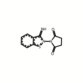 N=c1c2ccccc2sn1N1C(=O)CCC1=O